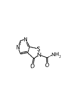 NC(=O)n1sc2ncncc2c1=O